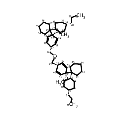 CCC[C@H]1CC[C@H](C2([C@]3(OC)C=C[C@H](COC[C@H]4C=C[C@@](OC)(C5([C@H]6CC[C@H](CCC)CC6)CCCCC5)C=C4)C=C3)CCCCC2)CC1